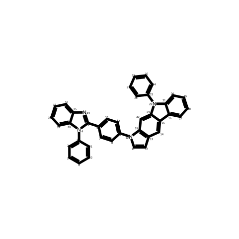 c1ccc(-n2c(-c3ccc(-n4ccc5cc6c7ccccc7n(-c7ccccc7)c6cc54)cc3)nc3ccccc32)cc1